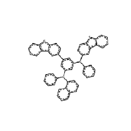 c1ccc(N(c2cc(-c3ccc4oc5ccccc5c4c3)cc(N(c3ccccc3)c3cccc4ccccc34)c2)c2ccc3sc4ccccc4c3c2)cc1